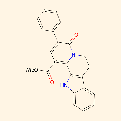 COC(=O)c1cc(-c2ccccc2)c(=O)n2c1-c1[nH]c3ccccc3c1CC2